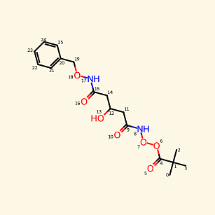 CC(C)(C)C(=O)OONC(=O)CC(O)CC(=O)NOCc1ccccc1